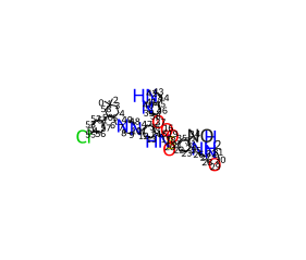 CC1(C)CCC(CN2CCN(c3ccc(C(=O)NS(=O)(=O)c4ccc(NCC5COCCN5)c([N+](=O)[O-])c4)c(Oc4cnc5[nH]ccc5c4)c3)CC2)=C(c2ccc(Cl)cc2)C1